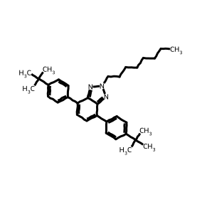 CCCCCCCCn1nc2c(-c3ccc(C(C)(C)C)cc3)ccc(-c3ccc(C(C)(C)C)cc3)c2n1